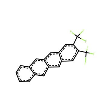 FC(F)(F)c1cc2cc3cc4ccccc4cc3cc2cc1C(F)(F)F